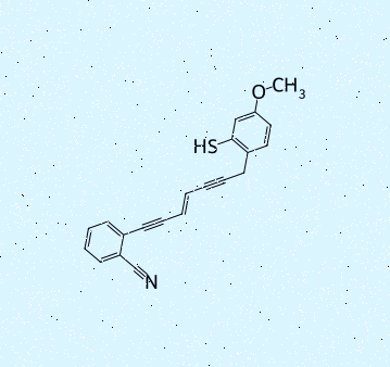 COc1ccc(CC#CC=CC#Cc2ccccc2C#N)c(S)c1